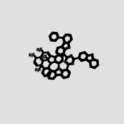 CC1C=CC2(C)C3=C1C(C)C=C1c4cccc(-n5c6ccccc6c6cccc(-c7nc(-c8ccc9oc%10ccccc%10c9c8)nc(-c8cccc9c8sc8cccc(-c%10ccccc%10)c89)n7)c65)c4N(c4ccccc42)C13C